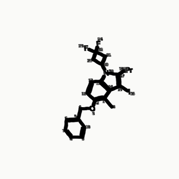 Cc1c(OCc2ccccc2)ccc2c1c(I)c(C(C)C)n2C1CC(F)(F)C1